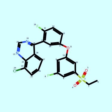 CCS(=O)(=O)c1cc(F)cc(Oc2ccc(F)c(-c3ncnc4c(Cl)cccc34)c2)c1